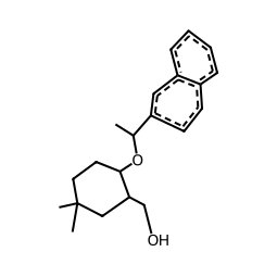 CC(OC1CCC(C)(C)CC1CO)c1ccc2ccccc2c1